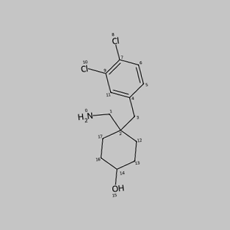 NCC1(Cc2ccc(Cl)c(Cl)c2)CCC(O)CC1